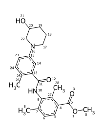 COC(=O)c1ccc(C)c(NC(=O)c2cc(N3CCCC(O)C3)ccc2C)c1C